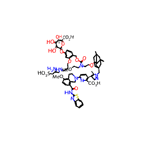 COCCN(CCOC12CC3(C)CC(C)(CC(Cn4ncc(-c5ccc(N6CCc7c(OC)ccc(C(=O)Nc8nc9ccccc9s8)c7C6)nc5C(=O)O)c4C)(C3)C1)C2)C(=O)OCc1ccc(O[C@@H]2O[C@H](C(=O)O)[C@@H](O)[C@H](O)[C@H]2O)cc1OCCCNC[C@@H](N)CS(=O)(=O)O